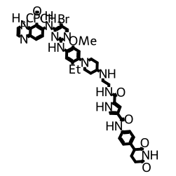 CCc1cc(Nc2ncc(Br)c(Nc3ccc4nccnc4c3P(C)(C)=O)n2)c(OC)cc1N1CCC(NCCNC(=O)c2cc(C(=O)Nc3ccc(C4CCC(=O)NC4=O)cc3)c[nH]2)CC1